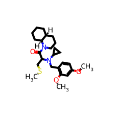 COc1ccc(CN(C2CC2)C(CSC)C(=O)N2CCC[C@H]3CCCC[C@@H]32)c(OC)c1